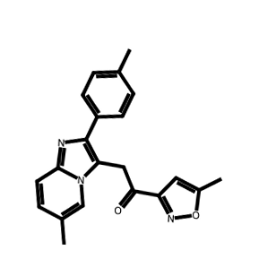 Cc1ccc(-c2nc3ccc(C)cn3c2CC(=O)c2cc(C)on2)cc1